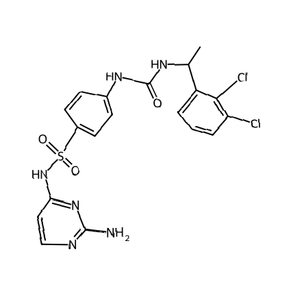 CC(NC(=O)Nc1ccc(S(=O)(=O)Nc2ccnc(N)n2)cc1)c1cccc(Cl)c1Cl